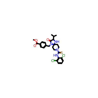 COC(=O)c1ccc(CN2C(=O)C(C(C)C)NC23CCN(C(=S)Nc2c(Cl)cccc2Cl)CC3)cc1